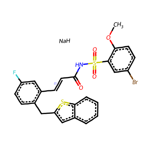 COc1ccc(Br)cc1S(=O)(=O)NC(=O)/C=C/c1cc(F)ccc1Cc1cc2ccccc2s1.[NaH]